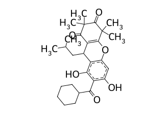 CC(C)CC1C2=C(Oc3cc(O)c(C(=O)C4CCCCC4)c(O)c31)C(C)(C)C(=O)C(C)(C)C2=O